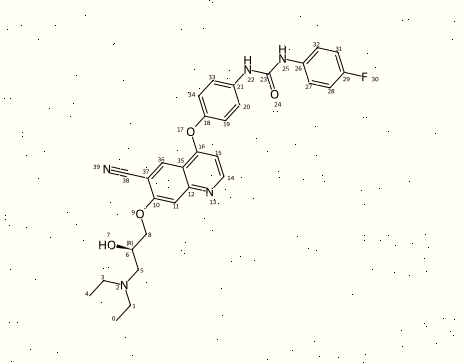 CCN(CC)C[C@@H](O)COc1cc2nccc(Oc3ccc(NC(=O)Nc4ccc(F)cc4)cc3)c2cc1C#N